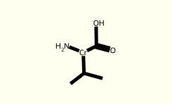 C[CH](C)[Cr]([NH2])[C](=O)O